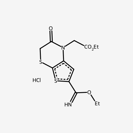 CCOC(=N)c1cc2c(s1)SCC(=O)N2CC(=O)OCC.Cl